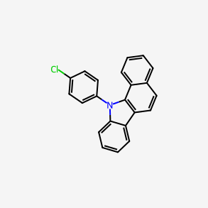 Clc1ccc(-n2c3ccccc3c3ccc4ccccc4c32)cc1